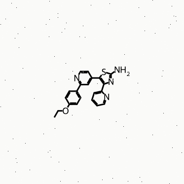 CCOc1ccc(-c2cc(-c3sc(N)nc3-c3ccccn3)ccn2)cc1